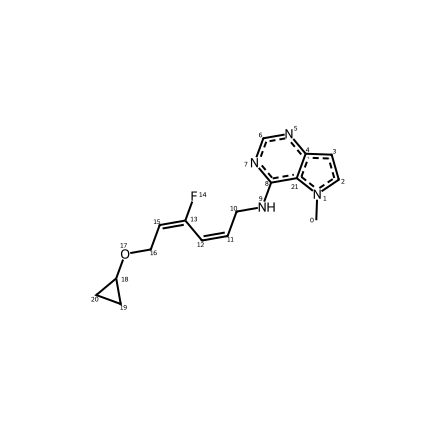 Cn1ccc2ncnc(NC/C=C\C(F)=C/COC3CC3)c21